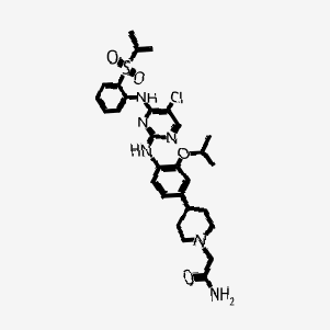 CC(C)Oc1cc(C2CCN(CC(N)=O)CC2)ccc1Nc1ncc(Cl)c(Nc2ccccc2S(=O)(=O)C(C)C)n1